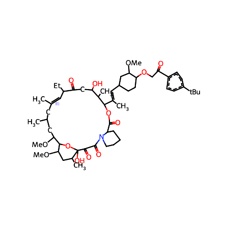 CCC1/C=C(\C)CC(C)CC(OC)C2OC(O)(C(=O)C(=O)N3CCCCC3C(=O)OC(C(C)=CC3CCC(OCC(=O)c4ccc(C(C)(C)C)cc4)C(OC)C3)C(C)C(O)CC1=O)C(C)CC2OC